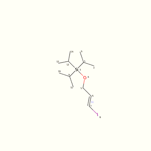 CC(C)[Si](OC/C=C/I)(C(C)C)C(C)C